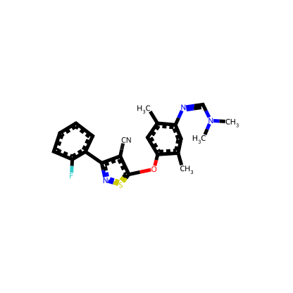 Cc1cc(Oc2snc(-c3ccccc3F)c2C#N)c(C)cc1/N=C\N(C)C